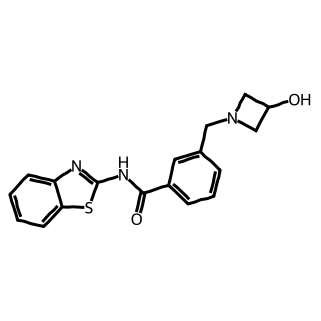 O=C(Nc1nc2ccccc2s1)c1cccc(CN2CC(O)C2)c1